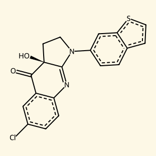 O=C1c2cc(Cl)ccc2N=C2N(c3ccc4ccsc4c3)CC[C@@]12O